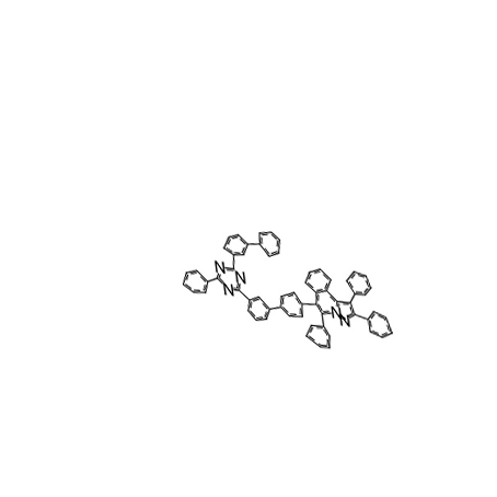 c1ccc(-c2cccc(-c3nc(-c4ccccc4)nc(-c4cccc(-c5ccc(-c6c(-c7ccccc7)n7nc(-c8ccccc8)c(-c8ccccc8)c7c7ccccc67)cc5)c4)n3)c2)cc1